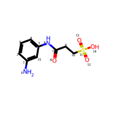 Nc1cccc(NC(=O)CCS(=O)(=O)O)c1